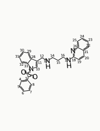 O=S(=O)(c1ccccc1)n1cc(CNCCCNc2ccc3ccccc3n2)c2ccccc21